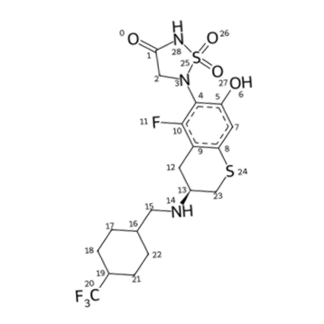 O=C1CN(c2c(O)cc3c(c2F)C[C@H](NCC2CCC(C(F)(F)F)CC2)CS3)S(=O)(=O)N1